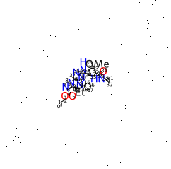 C=CCOC(=O)c1ncn2c1[C@@H](CC)N(C1CCCC1)c1nc(Nc3ccc(C(=O)NC4CC4)cc3OC)ncc1-2